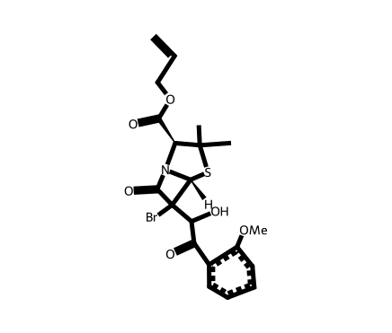 C=CCOC(=O)[C@@H]1N2C(=O)C(Br)(C(O)C(=O)c3ccccc3OC)[C@H]2SC1(C)C